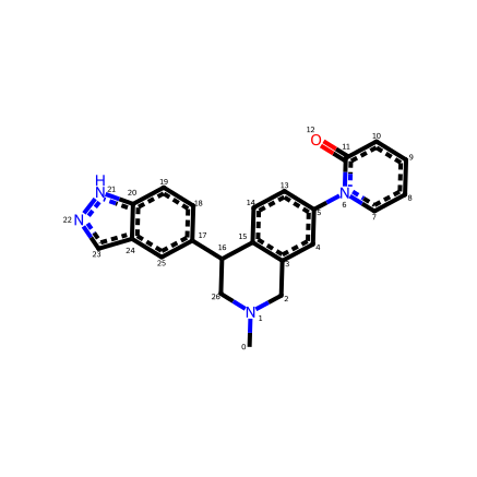 CN1Cc2cc(-n3ccccc3=O)ccc2C(c2ccc3[nH]ncc3c2)C1